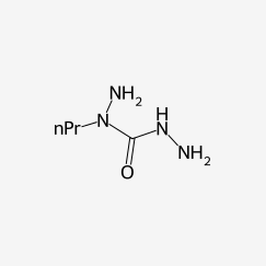 C[CH]CN(N)C(=O)NN